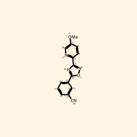 COc1ccc(-c2noc(-c3cccc(C#N)c3)n2)nc1